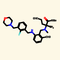 BC(CCC=O)(C(=O)NC)N(C)Cc1c(C=O)cccc1NCc1cccc(CN2CCOCC2)c1F